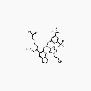 CCN(CCCCC(=O)O)c1cc2c(cc1CN(Cc1cc(C(F)(F)F)cc(C(F)(F)F)c1)c1nnn(CCO)n1)CCC2